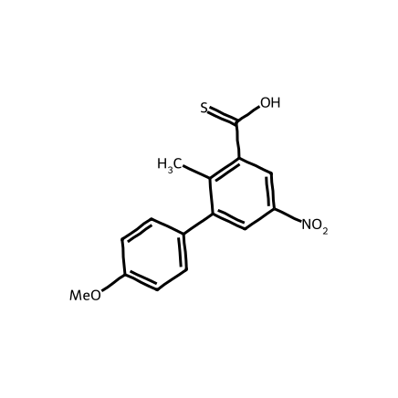 COc1ccc(-c2cc([N+](=O)[O-])cc(C(O)=S)c2C)cc1